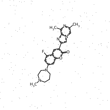 Cc1cn2cc(-c3cc4c(F)cc(N5CCCN(C)CC5)cc4oc3=O)nc2c(C)n1